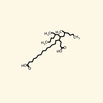 CCCCC(CC)CC(CC(CC)CCCC)C(CCCCCCCCCCCCCC(=O)O)CCC(=O)O